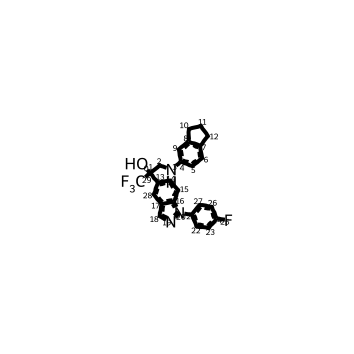 OC(CNc1ccc2c(c1)CCC2)(c1ccc2c(cnn2-c2ccc(F)cc2)c1)C(F)(F)F